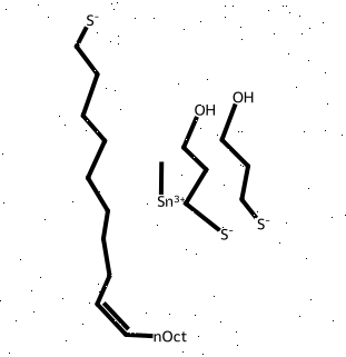 CCCCCCCC/C=C\CCCCCCCC[S-].OCCC[S-].OCCC[S-].[CH3][Sn+3]